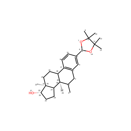 CC1Cc2cc(B3OC(C)(C)C(C)(C)O3)ccc2C2CC[C@@]3(C)C(CC[C@@H]3O)[C@H]12